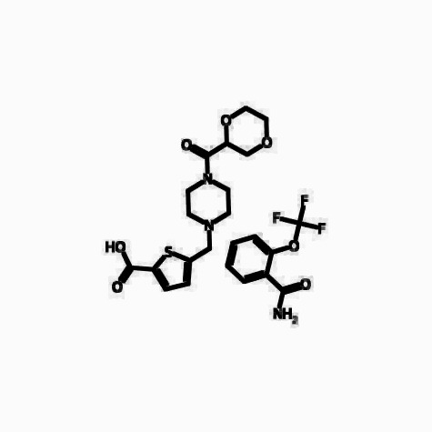 NC(=O)c1ccccc1OC(F)(F)F.O=C(O)c1ccc(CN2CCN(C(=O)C3COCCO3)CC2)s1